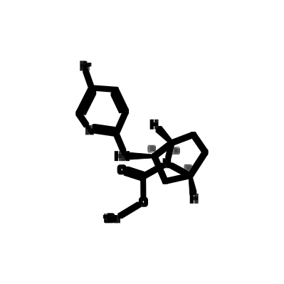 CC(C)(C)OC(=O)N1[C@@H]2CC[C@H]1[C@H](Nc1ccc(Br)cn1)C2